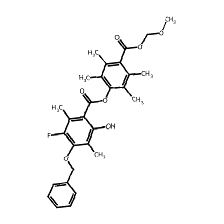 COCOC(=O)c1c(C)c(C)c(OC(=O)c2c(C)c(F)c(OCc3ccccc3)c(C)c2O)c(C)c1C